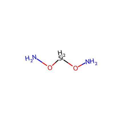 NO[SiH2]ON